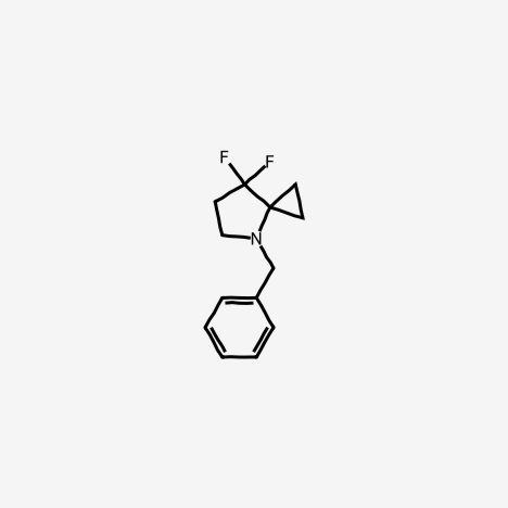 FC1(F)CCN(Cc2ccccc2)C12CC2